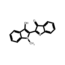 Cn1c(C2=Nc3ccccc3C2=O)c(O)c2ccccc21